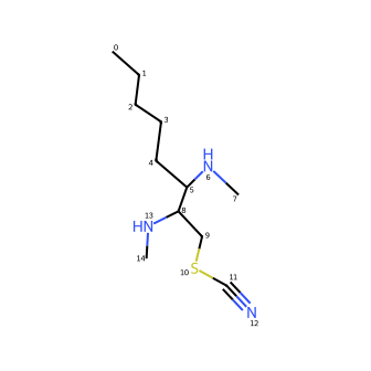 CCCCCC(NC)C(CSC#N)NC